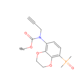 C#CCN(C(=O)OC(C)(C)C)c1ccc(P(C)(C)=O)c2c1OCCO2